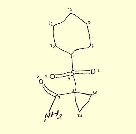 NC(=O)C1(S(=O)(=O)C2CCCCC2)CC1